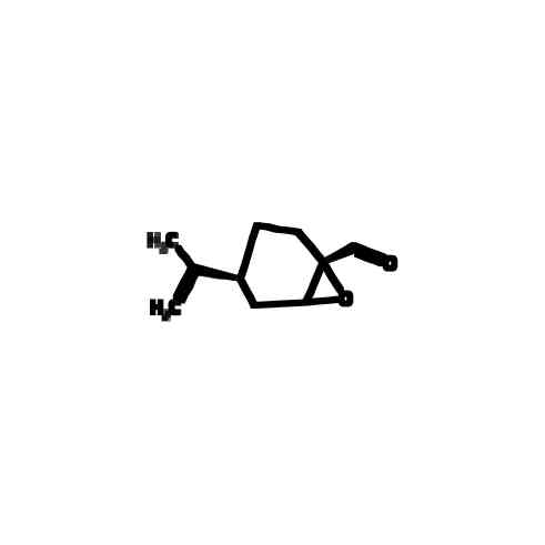 C=C(C)[C@H]1CC[C@]2(C=O)OC2C1